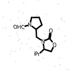 CC(C)C1COC(=O)N1CC1CCCN1C=O